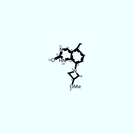 COC1CN(c2ccc(C)c3cnc(=O)[nH]c23)C1